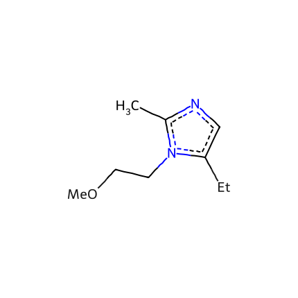 CCc1cnc(C)n1CCOC